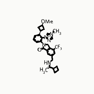 CO[C@H]1C[C@@H](c2cccc(N3Cc4c(cc(CN[C@@H](C)C5CCC5)cc4C(F)(F)F)C3=O)c2-[n+]2cn(C)cn2)C1